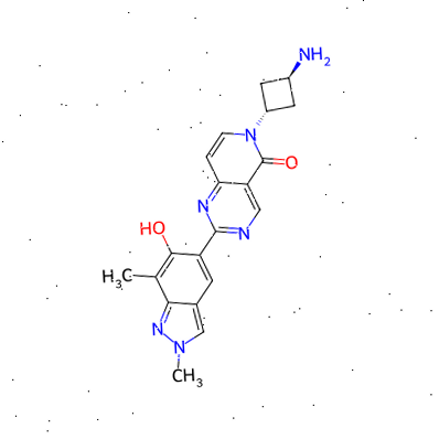 Cc1c(O)c(-c2ncc3c(=O)n([C@H]4C[C@H](N)C4)ccc3n2)cc2cn(C)nc12